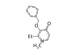 CCc1c(OCc2ccccc2)c(=O)ccn1C